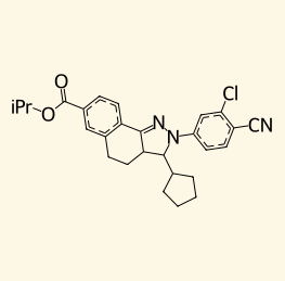 CC(C)OC(=O)c1ccc2c(c1)CCC1C2=NN(c2ccc(C#N)c(Cl)c2)C1C1CCCC1